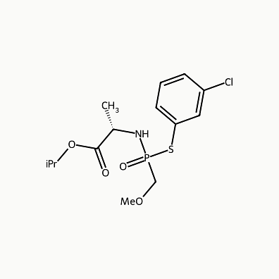 COCP(=O)(N[C@@H](C)C(=O)OC(C)C)Sc1cccc(Cl)c1